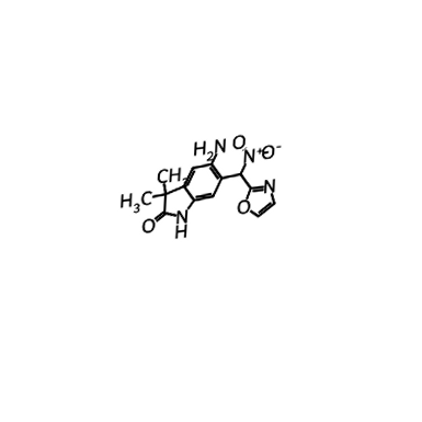 CC1(C)C(=O)Nc2cc(C(c3ncco3)[N+](=O)[O-])c(N)cc21